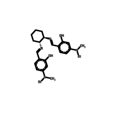 CCN(C)c1ccc(C=N[C@@H]2CCCC[C@H]2N=Cc2ccc(N(C)CC)cc2O)c(O)c1